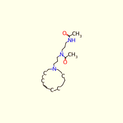 CC(=O)NCCCN(CCCN1CCCC/C=C\CCCCCCCC1)C(C)=O